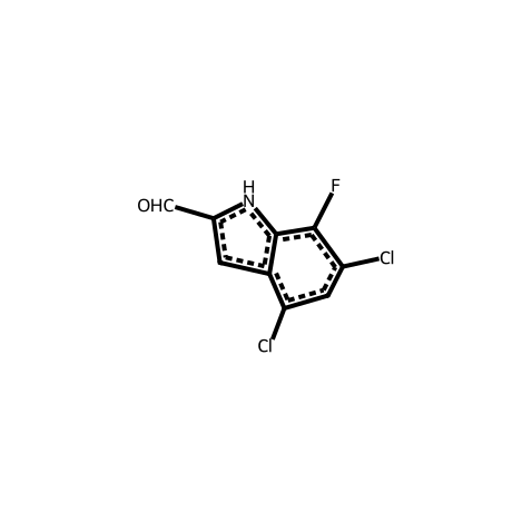 O=Cc1cc2c(Cl)cc(Cl)c(F)c2[nH]1